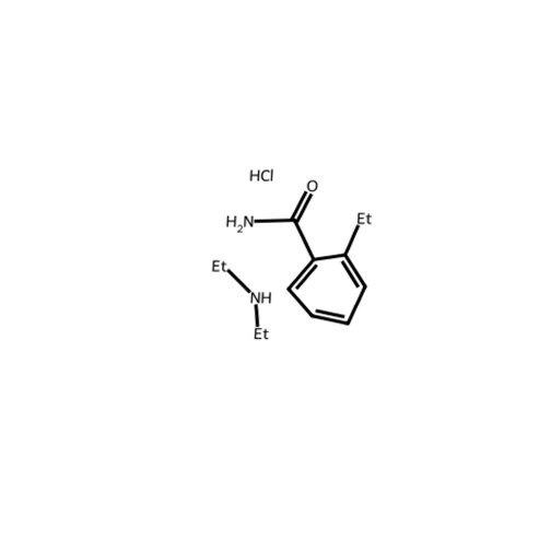 CCNCC.CCc1ccccc1C(N)=O.Cl